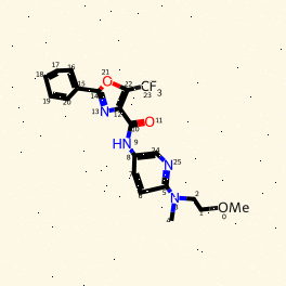 COCCN(C)c1ccc(NC(=O)c2nc(-c3ccccc3)oc2C(F)(F)F)cn1